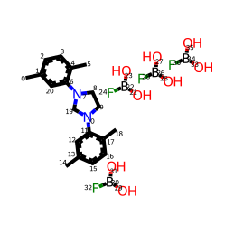 Cc1ccc(C)c(N2CCN(c3cc(C)ccc3C)C2)c1.OB(O)F.OB(O)F.OB(O)F.OB(O)F